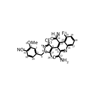 COc1cc(Cn2nc(C(F)(F)F)c(-c3c(C(N)=O)nc4cccc(F)c4c3C(N)=O)c2C)ccc1C#N